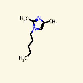 CCCCCn1cc(C)nc1C